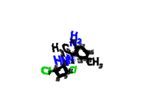 C/C(=N\Nc1cc(Cl)ccc1Cl)c1cc(C)ccc1N